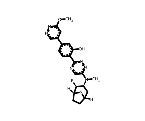 COc1cc(-c2ccc(-c3ncc(N(C)[C@H]4C[C@@H]5CC[C@@H](N5)[C@H]4F)nn3)c(O)c2)cnn1